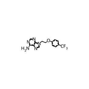 Nc1ncnc2c1ncn2CCOc1ccc(C(F)(F)F)cc1